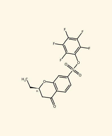 CC[C@@H]1CC(=O)c2ccc(S(=O)(=O)Oc3c(F)c(F)c(F)c(F)c3F)cc2O1